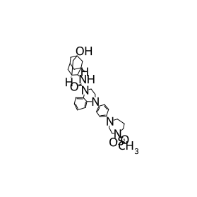 CS(=O)(=O)N1CCCN(c2ccc(N3CCN(C(=O)NC4[C@@H]5CC6C[C@H]4CC(O)(C6)C5)c4ccccc43)cc2)CC1